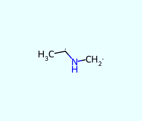 [CH2]N[CH]C